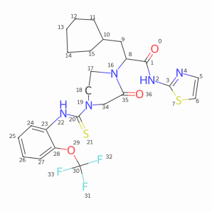 O=C(Nc1nccs1)C(CC1CCCCC1)N1CCN(C(=S)Nc2ccccc2OC(F)(F)F)CC1=O